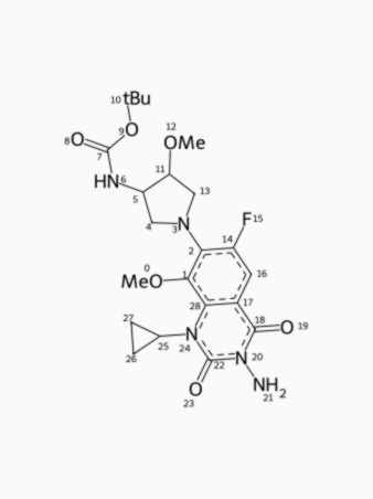 COc1c(N2CC(NC(=O)OC(C)(C)C)C(OC)C2)c(F)cc2c(=O)n(N)c(=O)n(C3CC3)c12